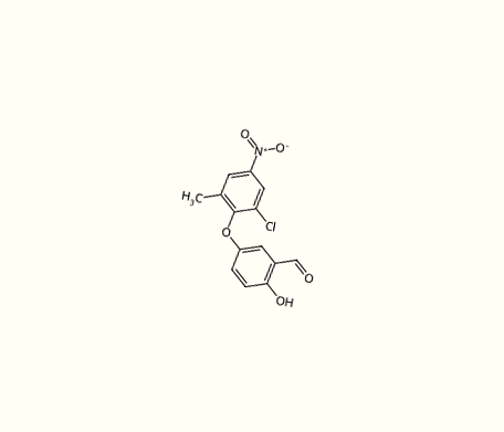 Cc1cc([N+](=O)[O-])cc(Cl)c1Oc1ccc(O)c(C=O)c1